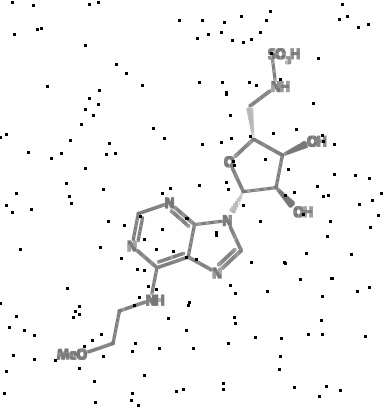 COCCNc1ncnc2c1ncn2[C@@H]1O[C@H](CNS(=O)(=O)O)[C@@H](O)[C@H]1O